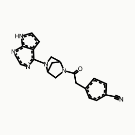 N#Cc1ccc(CC(=O)N2CC3CC2CN3c2ncnc3[nH]ccc23)cc1